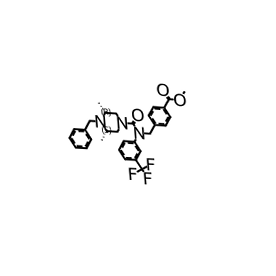 COC(=O)c1ccc(CN(C(=O)N2C[C@@H](C)N(Cc3ccccc3)[C@@H](C)C2)c2cccc(C(F)(F)F)c2)cc1